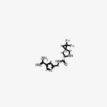 N=C(N)c1csc(CNC(=O)[C@@H]2C[C@@]3(CN2)CC3(F)F)c1